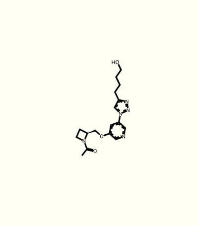 CC(=O)N1CC[C@H]1COc1cncc(-n2cc(CCCCO)nn2)c1